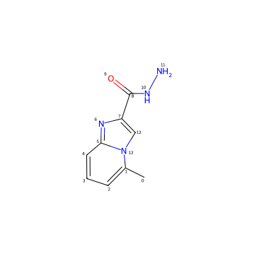 Cc1cccc2nc(C(=O)NN)cn12